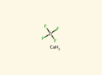 [CaH2].[F][Zr]([F])([F])[F]